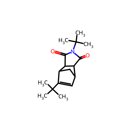 CC(C)(C)C1=CC2CC1C1C(=O)N(C(C)(C)C)C(=O)C21